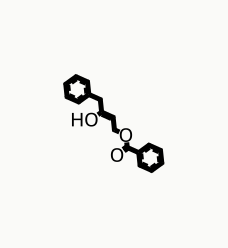 O=C(OCC=C(O)Cc1ccccc1)c1ccccc1